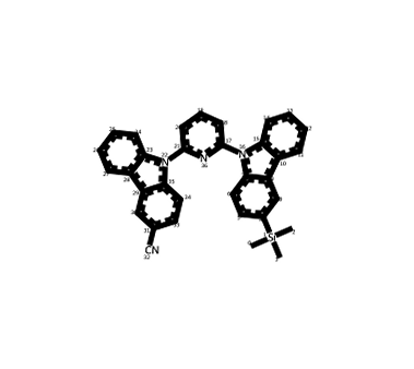 C[Si](C)(C)c1ccc2c(c1)c1ccccc1n2-c1cccc(-n2c3ccccc3c3cc(C#N)ccc32)n1